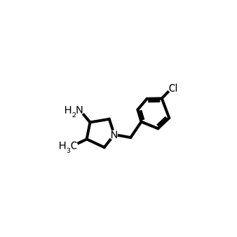 CC1CN(Cc2ccc(Cl)cc2)CC1N